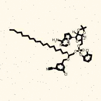 CCCCCCCCCCCCCCCCCC[C@@H](COP(=O)(OC[C@@]1(C)O[C@@H](c2ccc3c(N)ncnn23)[C@@H]2OC(C)(C)O[C@@H]21)Oc1ccccc1Cl)OCc1cc(Cl)cc(C#N)c1